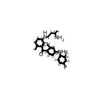 Cc1ccc(NCCC(C)N)cc1C(=O)c1ccc(Nc2ccc(F)cc2F)cc1Cl